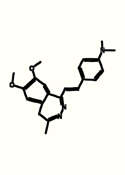 COc1cc2c(cc1OC)C(C=Cc1ccc(N(C)C)cc1)=NN=C(C)C2